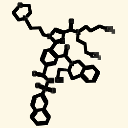 CCCCN(CCCC)C(=O)c1cn(CCCN2CCOCC2)c(-c2ccc(C(=O)NS(=O)(=O)c3ccc4ccccc4c3)cc2C(=O)N2Cc3ccccc3C[C@H]2CO)n1